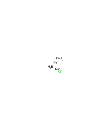 [BH4-].[CaH2].[Cl-].[Na+].[Na+]